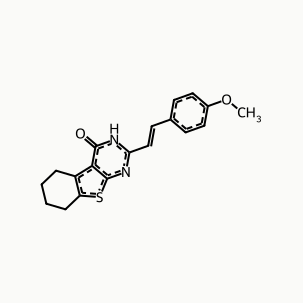 COc1ccc(/C=C/c2nc3sc4c(c3c(=O)[nH]2)CCCC4)cc1